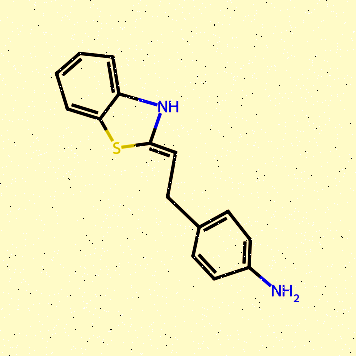 Nc1ccc(CC=C2Nc3ccccc3S2)cc1